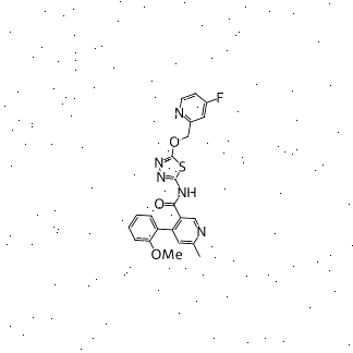 COc1ccccc1-c1cc(C)ncc1C(=O)Nc1nnc(OCc2cc(F)ccn2)s1